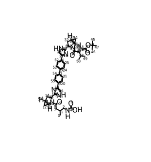 CC(CNC(=O)O)CC(=O)N1[C@@H]2C[C@@H]2C[C@H]1c1nc(-c2ccc(-c3ccc(-c4c[nH]c([C@@H]5C[C@@H]6C[C@H]6N5C(=O)[C@@H](NC(=O)OC(C)(C)C)C(C)C)n4)cc3)cc2)c[nH]1